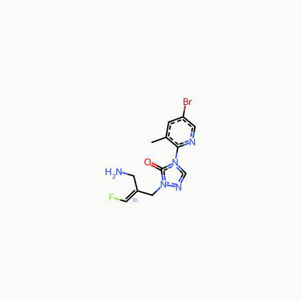 Cc1cc(Br)cnc1-n1cnn(C/C(=C/F)CN)c1=O